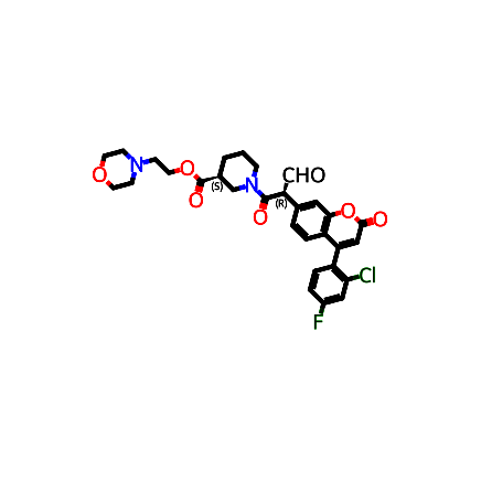 O=C[C@H](C(=O)N1CCC[C@H](C(=O)OCCN2CCOCC2)C1)c1ccc2c(-c3ccc(F)cc3Cl)cc(=O)oc2c1